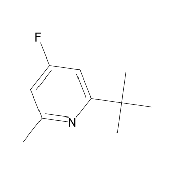 Cc1cc(F)cc(C(C)(C)C)n1